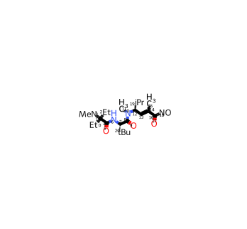 CCC(CC)(NC)C(=O)N[C@H](C(=O)N(C)[C@H](/C=C(\C)C(=O)N=O)C(C)C)C(C)(C)C